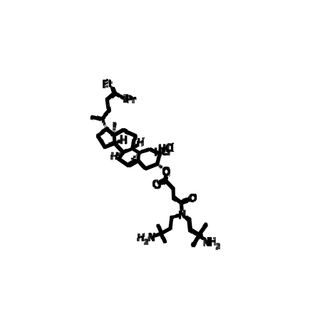 CCC(CCC(C)[C@H]1CC[C@H]2[C@@H]3CC=C4C[C@@H](OC(=O)CCC(=O)N(CCC(C)(C)N)CCC(C)(C)N)CC[C@]4(C)[C@H]3CC[C@]12C)C(C)C.Cl.Cl